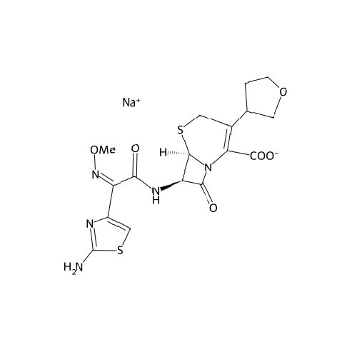 CO/N=C(\C(=O)N[C@@H]1C(=O)N2C(C(=O)[O-])=C(C3CCOC3)CS[C@H]12)c1csc(N)n1.[Na+]